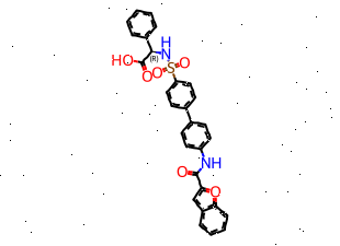 O=C(Nc1ccc(-c2ccc(S(=O)(=O)N[C@@H](C(=O)O)c3ccccc3)cc2)cc1)c1cc2ccccc2o1